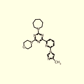 Cc1cn(-c2cccc(-c3nc(N4CCCCCC4)nc(N4CCOCC4)n3)n2)cn1